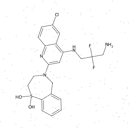 NCC(F)(F)CNc1cc(N2CCS(O)(O)c3ccccc3C2)nc2ccc(Cl)cc12